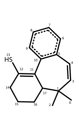 CC1(C)C=Cc2ccccc2C2=C(S)CCCC21